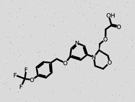 O=C(O)COC[C@H]1COCCN1c1cncc(OCc2ccc(OC(F)(F)F)cc2)c1